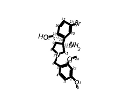 COc1ccc(CN2C[C@H](CO)[C@@](N)(c3cccc(Br)c3)C2)c(OC)c1